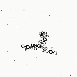 O=C(COc1ccc(Cl)c(F)c1)NC12CCC(NC(=O)COc3ccc(Cl)c(F)c3)(CC1)[C@@H](OC(=O)Oc1cccc(OP(=O)(O)O)c1)C2